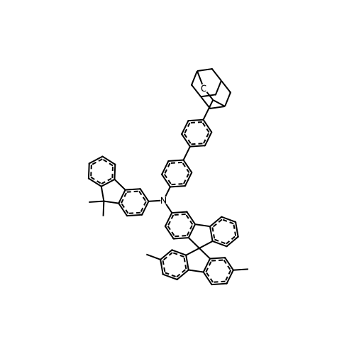 Cc1ccc2c(c1)C1(c3ccccc3-c3cc(N(c4ccc(-c5ccc(C6CC7CC8CC(C7)CC6C8)cc5)cc4)c4ccc5c(c4)-c4ccccc4C5(C)C)ccc31)c1cc(C)ccc1-2